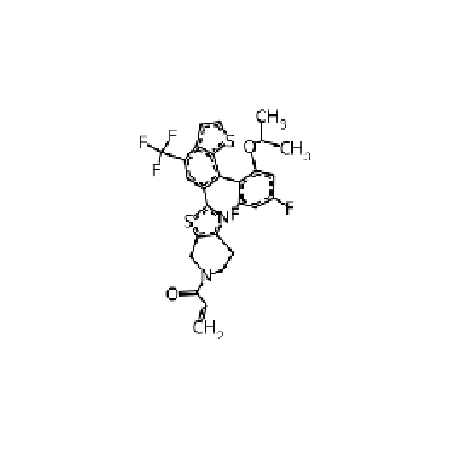 C=CC(=O)N1CCc2nc(-c3cc(C(F)(F)F)c4ccsc4c3-c3c(F)cc(F)cc3OC(C)C)sc2C1